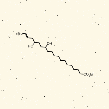 CCCCC=CCC(O)CCC(O)CCCCCCCCCCCC(=O)O